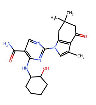 Cc1cn(-c2ncc(C(N)=O)c(NC3CCCCC3O)n2)c2c1C(=O)CC(C)(C)C2